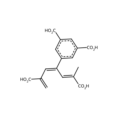 C=C(/C=C(\C=C(/C)C(=O)O)c1cc(C(=O)O)cc(C(=O)O)c1)C(=O)O